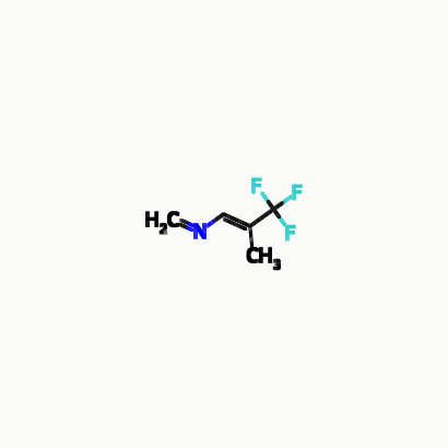 C=N/C=C(\C)C(F)(F)F